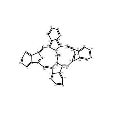 c1ccc2c(c1)C1=NC/2=N\c2c3ccccc3c3n2Pn2/c(c4ccccc4/c2=N/C2=NC(=N\3)/c3ccccc32)=N\1